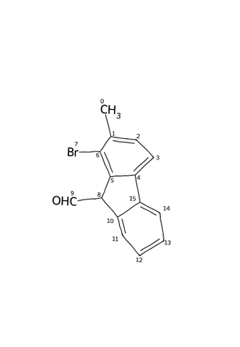 Cc1ccc2c(c1Br)C(C=O)c1ccccc1-2